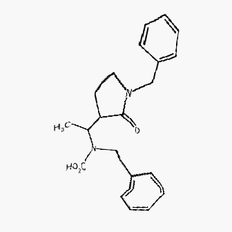 CC(C1CCN(Cc2ccccc2)C1=O)N(Cc1ccccc1)C(=O)O